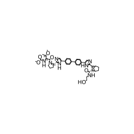 COC(=O)N[C@H](C(=O)N1CCC[C@H]1c1ncc(-c2ccc(-c3ccc(-c4cnc([C@H]5C6CCC(C6)[C@@H]5C(=O)NCCO)[nH]4)cc3)cc2)[nH]1)[C@@H](C)OC